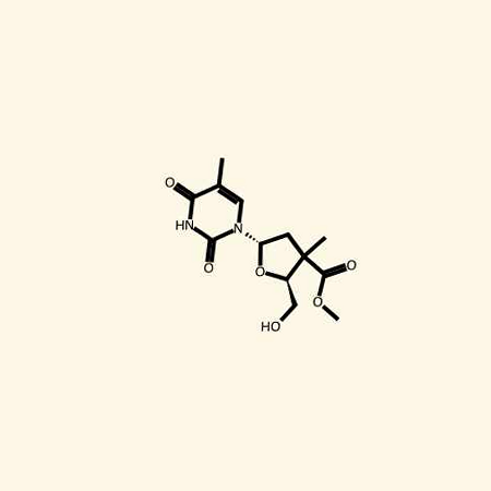 COC(=O)C1(C)C[C@@H](n2cc(C)c(=O)[nH]c2=O)O[C@@H]1CO